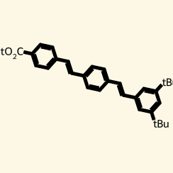 CCOC(=O)c1ccc(/C=C/c2ccc(/C=C/c3cc(C(C)(C)C)cc(C(C)(C)C)c3)cc2)cc1